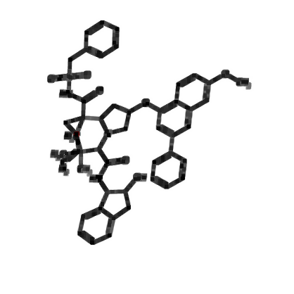 C=CC1CC1(C(=O)NS(=O)(=O)Cc1ccccc1)C1CC(Oc2cc(-c3ccccc3)cc3cc(OC)ccc23)CN1C(C(=O)NC1c2ccccc2CC1O)C(C)(C)C